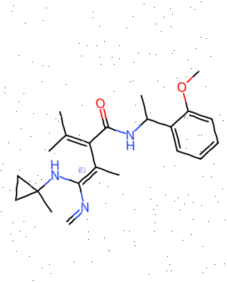 C=N/C(NC1(C)CC1)=C(\C)C(C(=O)NC(C)c1ccccc1OC)=C(C)C